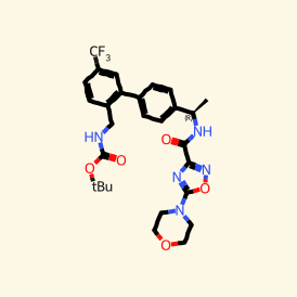 C[C@@H](NC(=O)c1noc(N2CCOCC2)n1)c1ccc(-c2cc(C(F)(F)F)ccc2CNC(=O)OC(C)(C)C)cc1